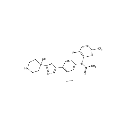 CC.NC(=O)N(c1ccc(-c2cnc(C3(O)CCNCC3)s2)cc1)c1cc(C(F)(F)F)ccc1F